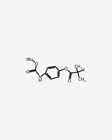 CC(C)(C)OC(=O)Nc1ccc(OC(=O)C(C)(C)I)cc1